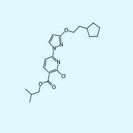 CC(C)COC(=O)c1ccc(-n2ccc(OCCC3CCCC3)n2)nc1Cl